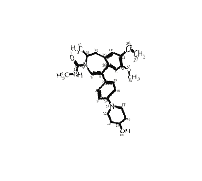 CNC(=O)N1C=C(c2ccc(N3CCC(O)CC3)cc2)c2cc(OC)c(OC)cc2CC1C